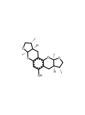 C[C@H]1CO[C@]2(C)Oc3cc(O)c4c(c3C[C@H]12)O[C@@]1(C)OC[C@H](C)[C@H]1C4